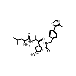 Cc1ncsc1-c1ccc(CNC(=O)[C@@H]2C[C@@H](O)CN2C(=O)C(C)NC(=O)C(N)CC(C)C)cc1